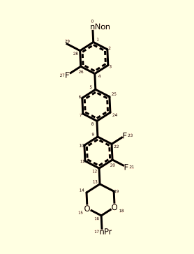 CCCCCCCCCc1ccc(-c2ccc(-c3ccc(C4COC(CCC)OC4)c(F)c3F)cc2)c(F)c1C